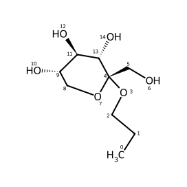 CCCO[C@]1(CO)OC[C@H](O)[C@@H](O)[C@@H]1O